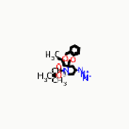 CC=CCC1(C(=O)OCc2ccccc2)C[C@@H](N=[N+]=[N-])CCN1C(=O)OC(C)(C)C